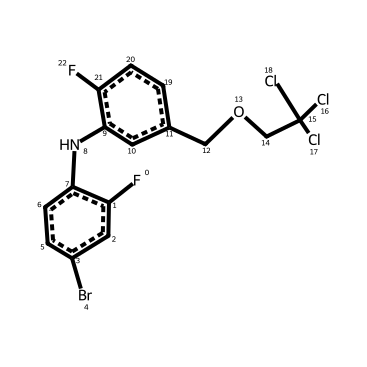 Fc1cc(Br)ccc1Nc1cc(COCC(Cl)(Cl)Cl)ccc1F